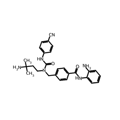 CC(C)(N)CCN(Cc1ccc(C(=O)Nc2ccccc2N)cc1)C(=O)Nc1ccc(C#N)cc1